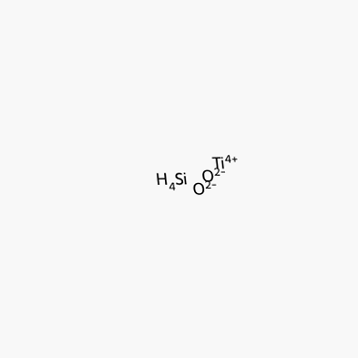 [O-2].[O-2].[SiH4].[Ti+4]